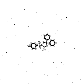 CCC1CC(c2ccccc2)(c2ccccc2)CN1S(=O)(=O)c1ccc(C)cc1